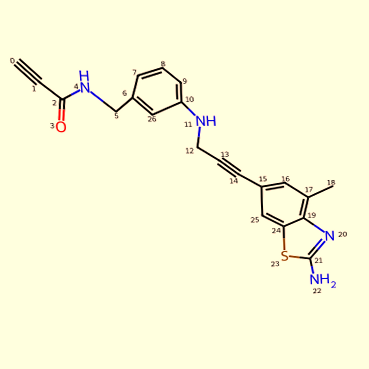 C#CC(=O)NCc1cccc(NCC#Cc2cc(C)c3nc(N)sc3c2)c1